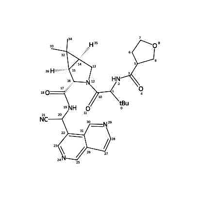 CC(C)(C)C(NC(=O)C1CCOC1)C(=O)N1C[C@H]2[C@@H]([C@H]1C(=O)NC(C#N)c1cncc3ccncc13)C2(C)C